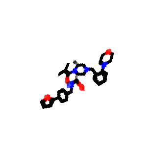 CC(C)C(=O)N1[C@H](C)CN(Cc2ccccc2N2CCOCC2)C[C@@H]1C(=O)NCc1ccc(-c2ccco2)cc1